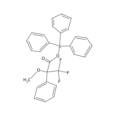 COC(C(=O)OS(c1ccccc1)(c1ccccc1)c1ccccc1)(c1ccccc1)C(F)(F)F